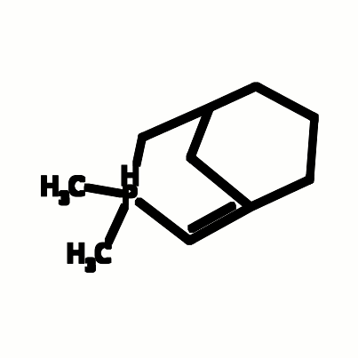 C[PH]1(C)C=C2CCCC(C2)C1